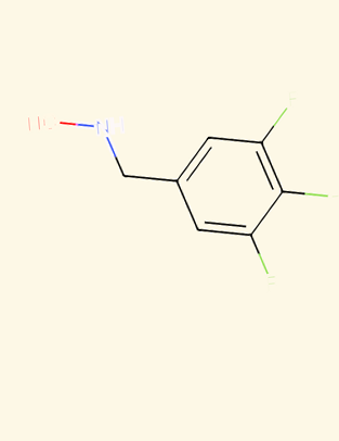 ONCc1cc(F)c(F)c(F)c1